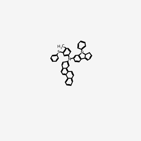 Cc1ccc(N(c2ccc3c(c2)N(c2ccccc2)C2CC=CC=C32)c2ccc3ccc4c5ccccc5ccc4c3c2)cc1Sc1ccccc1